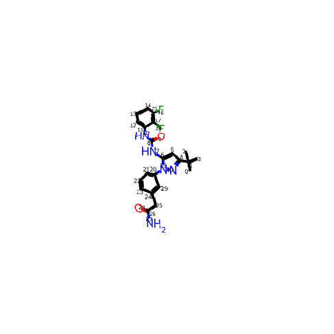 CC(C)(C)c1cc(NC(=O)Nc2cccc(F)c2F)n(-c2cccc(CC(N)=O)c2)n1